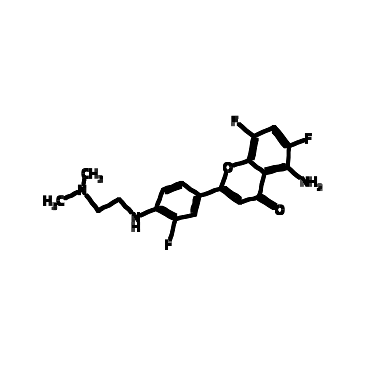 CN(C)CCNc1ccc(-c2cc(=O)c3c(N)c(F)cc(F)c3o2)cc1F